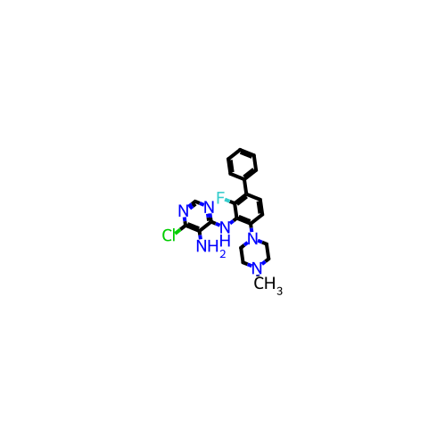 CN1CCN(c2ccc(-c3ccccc3)c(F)c2Nc2ncnc(Cl)c2N)CC1